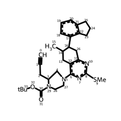 C#CCC1CN(c2nc(SC)nc3c2CC(C)C(c2cccc4c2CCC4)C3)CCN1C(=O)OC(C)(C)C